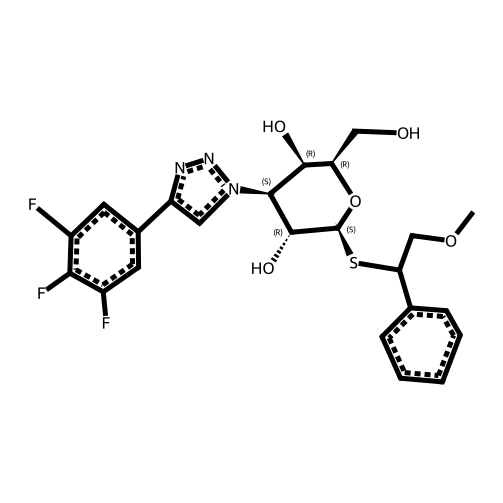 COCC(S[C@@H]1O[C@H](CO)[C@H](O)[C@H](n2cc(-c3cc(F)c(F)c(F)c3)nn2)[C@H]1O)c1ccccc1